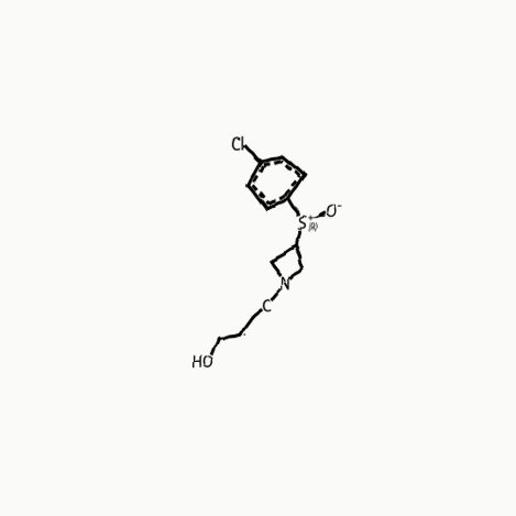 [O-][S@+](c1ccc(Cl)cc1)C1CN(CC[CH]CO)C1